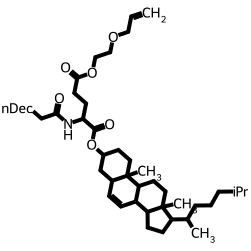 C=CCOCCOC(=O)CCC(NC(=O)CCCCCCCCCCC)C(=O)OC1CCC2(C)C(C=CC3C2CCC2(C)C(C(C)CCCC(C)C)CCC32)C1